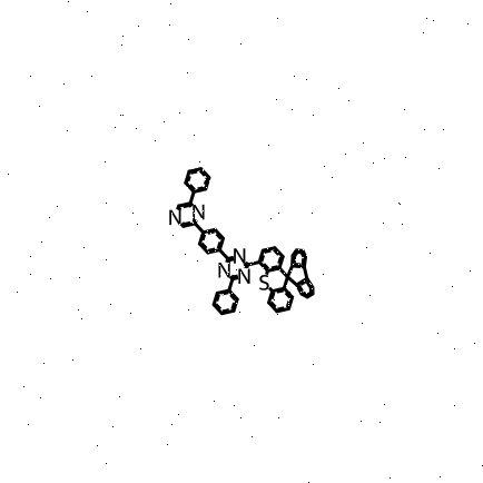 c1ccc(-c2cncc(-c3ccc(-c4nc(-c5ccccc5)nc(-c5cccc6c5Sc5ccccc5C65c6ccccc6-c6ccccc65)n4)cc3)n2)cc1